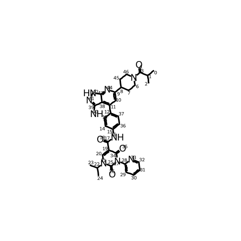 CC(C)C(=O)N1CCC(c2cc(-c3ccc(NC(=O)c4cn(C(C)C)c(=O)n(-c5ccccn5)c4=O)cc3)c3c(N)n[nH]c3n2)CC1